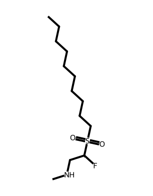 CCCCCCCCCCS(=O)(=O)[C](F)CNC